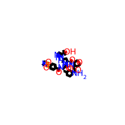 CN(C)S(=O)(=O)c1ccc(C(=O)N[C@H](CC2CCCCC2)C(=O)N2C[C@@H](n3nncc3C(C)(C)O)C[C@H]2C(=O)NC2(C(=O)C(N)=O)CCOCC2)cc1